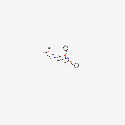 CC(C)(C)OC(=O)CC1CCN(c2ccc(-c3ccc(OCc4ccccc4)nc3OCc3ccccc3)cn2)CC1